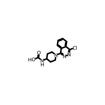 O=C(O)NC1CCN(c2nnc(Cl)c3ccccc23)CC1